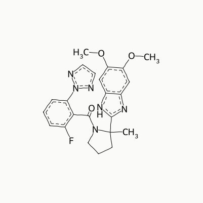 COc1cc2nc(C3(C)CCCN3C(=O)c3c(F)cccc3-n3nccn3)[nH]c2cc1OC